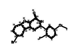 COc1ccc(F)c(-c2nc3c(oc4ccc(Br)cc43)c(=O)[nH]2)c1